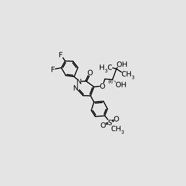 CC(C)(O)[C@H](O)COc1c(-c2ccc(S(C)(=O)=O)cc2)cnn(-c2ccc(F)c(F)c2)c1=O